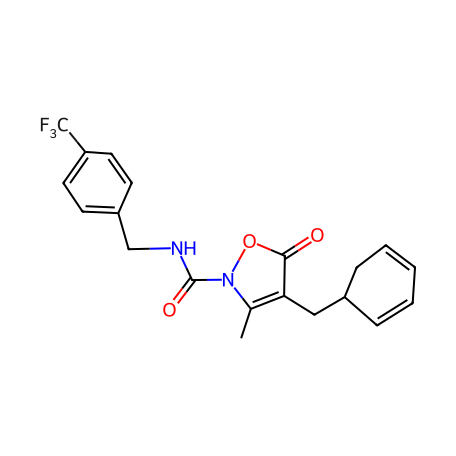 Cc1c(CC2C=CC=CC2)c(=O)on1C(=O)NCc1ccc(C(F)(F)F)cc1